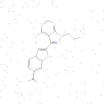 COC(=O)c1ccc2cc(-c3nn(CCO)c4ncnc(N)c34)[nH]c2c1